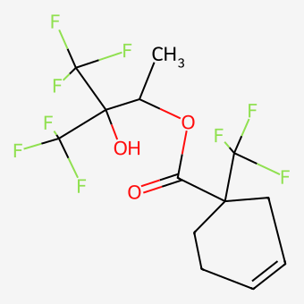 CC(OC(=O)C1(C(F)(F)F)CC=CCC1)C(O)(C(F)(F)F)C(F)(F)F